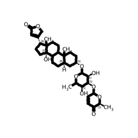 CC1OC(O[C@H]2CCC3(C)C4CCC5(C)[C@@H](C6=CC(=O)OC6)CC[C@]5(O)C4CC[C@@H]3C2)[C@@H](O)[C@@H](OC2C=CC(=O)[C@H](C)O2)[C@H]1O